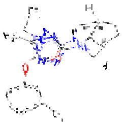 Cc1noc(N2C[C@H]3CC[C@@H](C2)[C@H]3Nc2nc(Oc3cccc(C(F)(F)F)c3)n(CC(F)(F)F)n2)n1